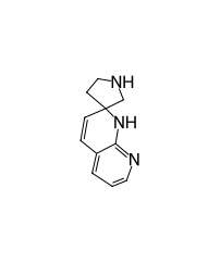 C1=CC2(CCNC2)Nc2ncccc21